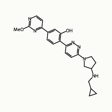 COc1nccc(-c2ccc(-c3ccc(N4CCC(NCC5CC5)C4)nn3)c(O)c2)n1